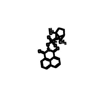 CC1(C)C2CCC1(C)C(S(=O)(=O)ON1C(=O)c3cccc4cccc(c34)C1=O)C2